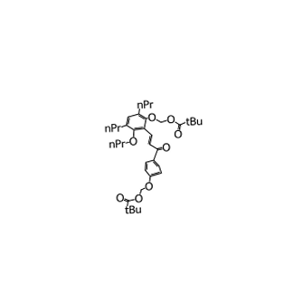 CCCOc1c(CCC)cc(CCC)c(OCOC(=O)C(C)(C)C)c1C=CC(=O)c1ccc(OCOC(=O)C(C)(C)C)cc1